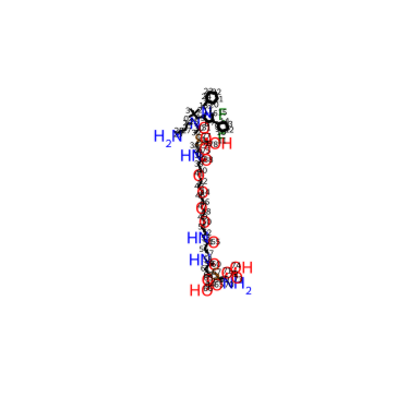 CC(C)(C)[C@H](c1cc(-c2cc(F)ccc2F)cn1Cc1ccccc1)N(CCCN)C(=O)CSC[C@H](NC(=O)CCOCCOCCOCCOCCNC(=O)CCNC(=O)CC(OC(=O)O)SC[C@H](N)OC(=O)O)OC(=O)O